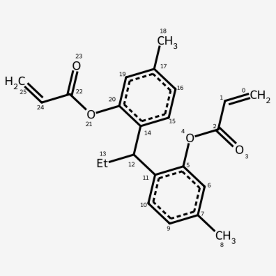 C=CC(=O)Oc1cc(C)ccc1C(CC)c1ccc(C)cc1OC(=O)C=C